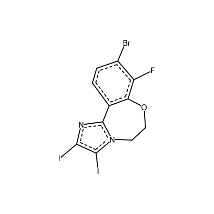 Fc1c(Br)ccc2c1OCCn1c-2nc(I)c1I